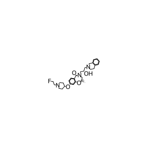 C[C@H]1CN(CC(O)CN2CCc3ccccc3C2)C(=O)c2ccc(OC3CCN(CCF)CC3)cc2O1